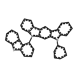 c1ccc(-n2c3ccccc3c3cc4c5ccccc5n(-c5cccc6sc7ccccc7c56)c4cc32)cc1